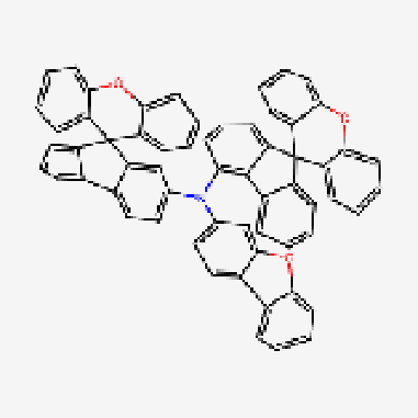 c1ccc2c(c1)Oc1ccccc1C21c2ccccc2-c2ccc(N(c3ccc4c(c3)oc3ccccc34)c3cccc4c3-c3ccccc3C43c4ccccc4Oc4ccccc43)cc21